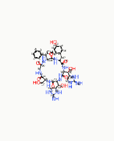 CC(c1ccccc1)C1NC(=O)CNC(=O)C(CO)NC(=O)C(C(O)C2CNC(=N)N2)NC(=O)C(C(O)C2CNC(=N)N2)NC(=O)C(Cc2ccc(O)cc2)NC1=O